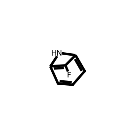 Fc1c2cccc1N2